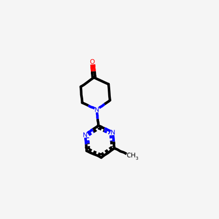 Cc1ccnc(N2CCC(=O)CC2)n1